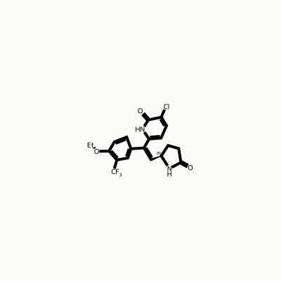 CCOc1ccc(C(=C[C@H]2CCC(=O)N2)c2ccc(Cl)c(=O)[nH]2)cc1C(F)(F)F